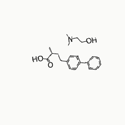 CC(CCc1ccc(-c2ccccc2)cc1)C(=O)O.CN(C)CCO